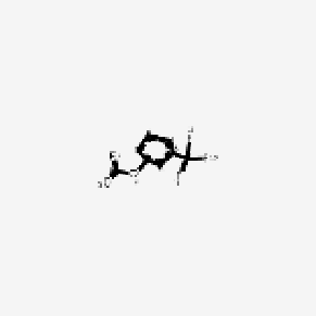 O=C(F)Oc1cccc(C(F)(F)F)c1